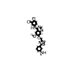 CNC1CCCC(c2nc(COc3cc4ncnc(Nc5ccc(Cl)c(Cl)c5)c4cc3OC)no2)C1